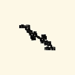 CCCCC(CC)Cc1cc2sc(-c3ncc(C#Cc4cnc(-c5cc6sc(CC(CC)CCCC)cc6s5)c5nsnc45)c4nsnc34)cc2s1